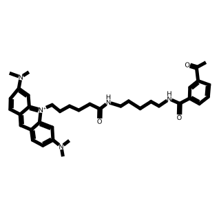 CC(=O)c1cccc(C(=O)NCCCCCNC(=O)CCCCC[n+]2c3cc(N(C)C)ccc3cc3ccc(N(C)C)cc32)c1